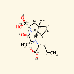 CCC[C@H](N[C@@H](C)C(=O)N1[C@H](C(=O)O)C[C@@H]2CCC[C@@H]21)C(=O)O